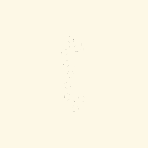 C/C=C\c1c(C)c2ccccc2n1-c1cccc(-c2ccc3c(c2)oc2cc4oc5cc(-c6cccc(-n7c8ccccc8c8ccccc87)c6)ccc5c4cc23)c1